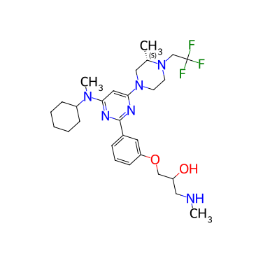 CNCC(O)COc1cccc(-c2nc(N3CCN(CC(F)(F)F)[C@@H](C)C3)cc(N(C)C3CCCCC3)n2)c1